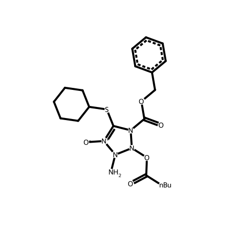 CCCCC(=O)ON1N(C(=O)OCc2ccccc2)C(SC2CCCCC2)=[N+]([O-])N1N